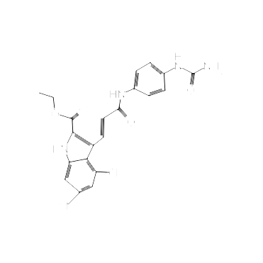 CCOC(=O)c1[nH]c2cc(Cl)cc(Cl)c2c1/C=C/C(=O)Nc1ccc(NC(N)=O)cc1